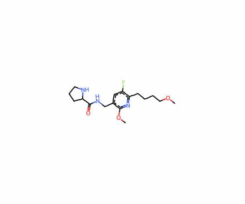 COCCCCc1nc(OC)c(CNC(=O)C2CCCN2)cc1F